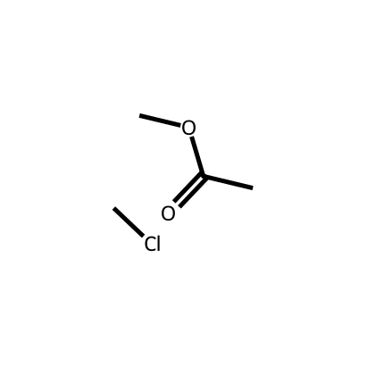 CCl.COC(C)=O